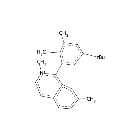 Cc1ccc2cc[n+](C)c(-c3cc(C(C)(C)C)cc(C)c3C)c2c1